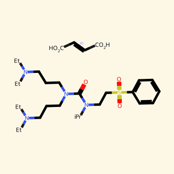 CCN(CC)CCCN(CCCN(CC)CC)C(=O)N(CCS(=O)(=O)c1ccccc1)C(C)C.O=C(O)/C=C/C(=O)O